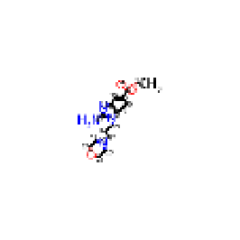 CCOC(=O)c1ccc2c(c1)nc(N)n2CCCN1CCOCC1